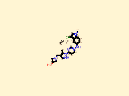 CC1=C(CN2CC(O)C2)CNN1C1=CCN(Nc2ccc3c(c2)c(Cl)cn3C)C=N1.CS(=O)(=O)O